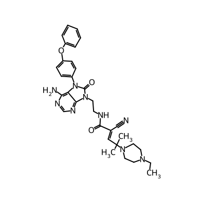 CCN1CCN(C(C)(C)/C=C(\C#N)C(=O)NCCn2c(=O)n(-c3ccc(Oc4ccccc4)cc3)c3c(N)ncnc32)CC1